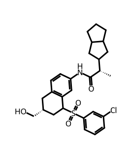 C[C@H](C(=O)Nc1ccc2c(c1)C(S(=O)(=O)c1cccc(Cl)c1)C[C@H](CO)C2)C1CC2CCCC2C1